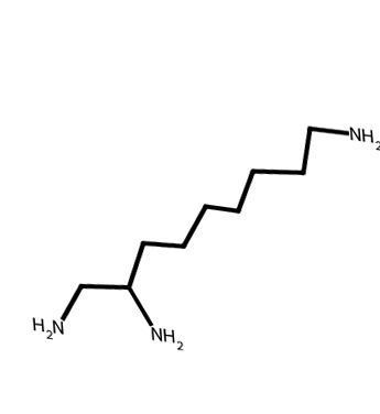 NCCCCCCCC(N)CN